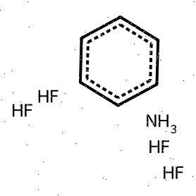 F.F.F.F.N.c1ccccc1